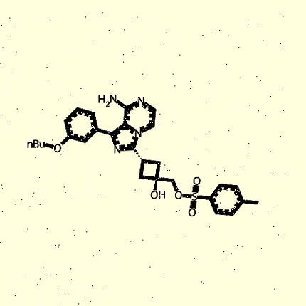 CCCCOc1cccc(-c2nc([C@H]3C[C@@](O)(COS(=O)(=O)c4ccc(C)cc4)C3)n3ccnc(N)c23)c1